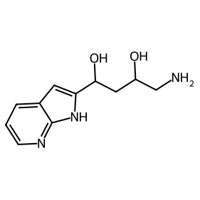 NCC(O)CC(O)c1cc2cccnc2[nH]1